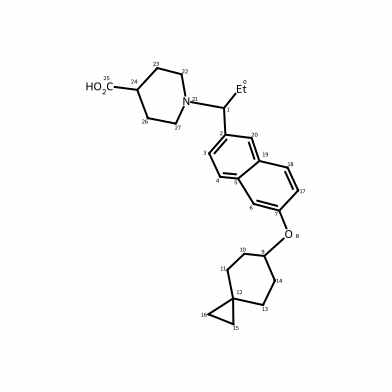 CCC(c1ccc2cc(OC3CCC4(CC3)CC4)ccc2c1)N1CCC(C(=O)O)CC1